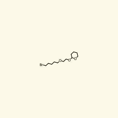 BrCCCCCOCCOC1CCCCO1